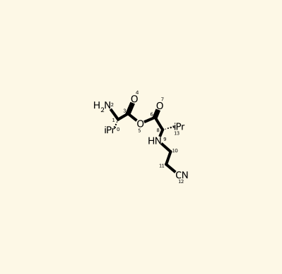 CC(C)[C@H](N)C(=O)OC(=O)[C@@H](NCCC#N)C(C)C